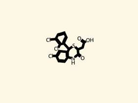 O=C(O)CC1SC(c2cccc(Cl)c2Cl)c2cc(Cl)ccc2NC1=O